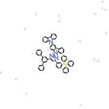 c1ccc(-c2cc(-c3ccccc3)cc(-c3cc(-c4cccc(S(c5ccccc5)(c5ccccc5)c5ccccc5)c4)nc(-n4c5ccccc5c5cc(-n6c7ccccc7c7ccccc76)ccc54)n3)c2)cc1